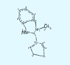 CN1c2ccccc2NC1C1=CCCC=C1